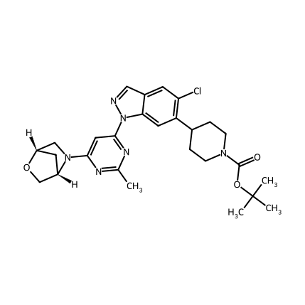 Cc1nc(N2C[C@@H]3C[C@H]2CO3)cc(-n2ncc3cc(Cl)c(C4CCN(C(=O)OC(C)(C)C)CC4)cc32)n1